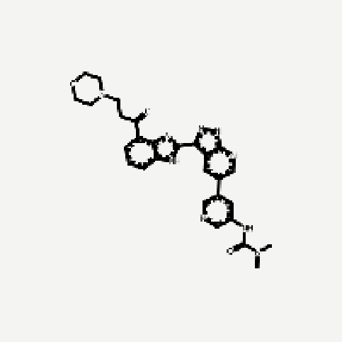 CN(C)C(=O)Nc1cncc(-c2cnc3[nH]nc(-c4nc5c(C(=O)CCN6CCOCC6)cccc5[nH]4)c3c2)c1